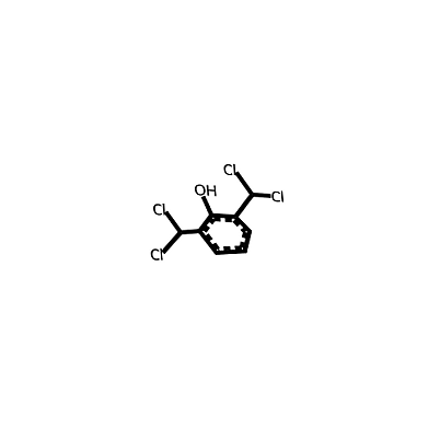 Oc1c(C(Cl)Cl)cccc1C(Cl)Cl